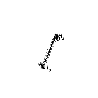 NC(=O)CCCCCCCCCCCCCCCCCCC(N)=O